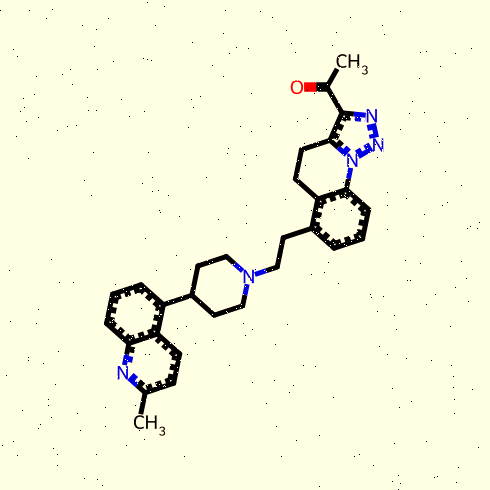 CC(=O)c1nnn2c1CCc1c(CCN3CCC(c4cccc5nc(C)ccc45)CC3)cccc1-2